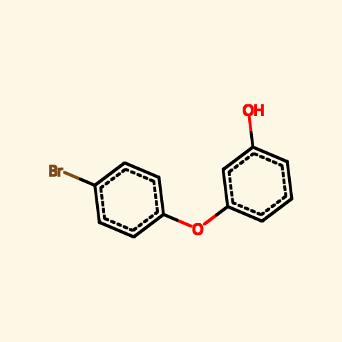 Oc1cccc(Oc2ccc(Br)cc2)c1